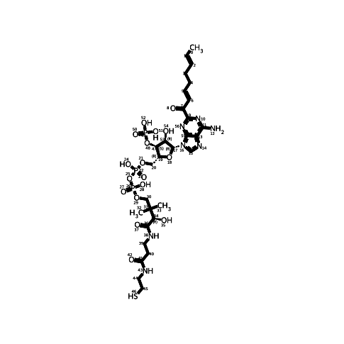 CC=CCCC=CC(=O)c1nc(N)c2ncn([C@@H]3O[C@H](COP(=O)(O)OP(=O)(O)OCC(C)(C)[C@@H](O)C(=O)NCCC(=O)NCCS)[C@@H](OP(=O)(O)O)[C@H]3O)c2n1